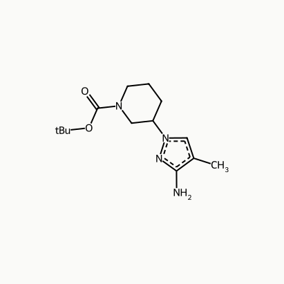 Cc1cn(C2CCCN(C(=O)OC(C)(C)C)C2)nc1N